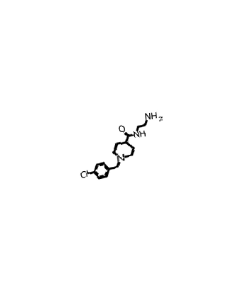 NCCNC(=O)C1CCN(Cc2ccc(Cl)cc2)CC1